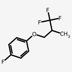 CC(COc1ccc(F)cc1)C(F)(F)F